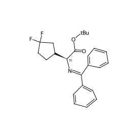 CC(C)(C)OC(=O)[C@@H](N=C(c1ccccc1)c1ccccc1)C1CCC(F)(F)C1